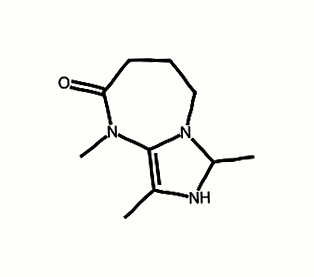 CC1=C2N(C)C(=O)CCCN2C(C)N1